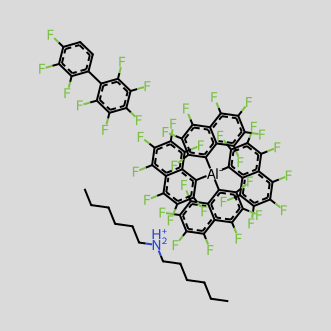 CCCCCC[NH2+]CCCCCC.Fc1c(F)c(F)c2[c]([Al-]([c]3c(F)c(F)c(F)c4c(F)c(F)c(F)c(F)c34)([c]3c(F)c(F)c(F)c4c(F)c(F)c(F)c(F)c34)[c]3c(F)c(F)c(F)c4c(F)c(F)c(F)c(F)c34)c(F)c(F)c(F)c2c1F.Fc1ccc(-c2c(F)c(F)c(F)c(F)c2F)c(F)c1F